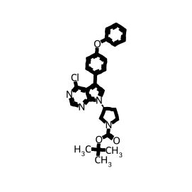 CC(C)(C)OC(=O)N1CC[C@@H](n2cc(-c3ccc(Oc4ccccc4)cc3)c3c(Cl)ncnc32)C1